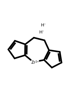 C1=CC2=[C](C1)[Zr+2][C]1=C(C=CC1)CC2.[H-].[H-]